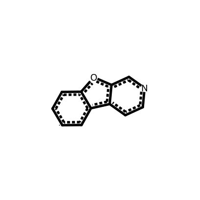 [c]1ccc2oc3cnccc3c2c1